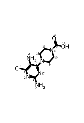 Nc1nc(Cl)c(N)c(N2CCN(C(=O)O)CC2)n1